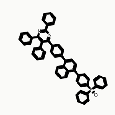 O=P(c1ccccc1)(c1ccccc1)c1ccc(-c2ccc(-c3ccc(-c4nc(-c5ccccc5)nc(-c5ccccc5)c4-c4ccccc4)cc3)c3ccccc23)cc1